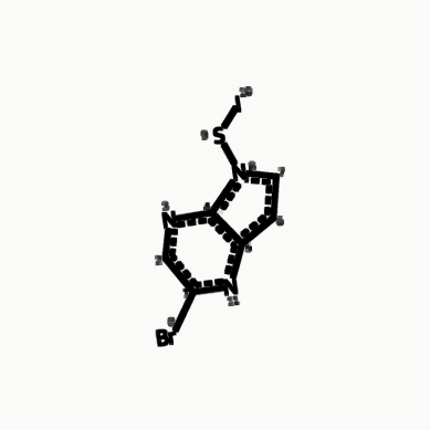 Brc1cnc2c(ccn2SI)n1